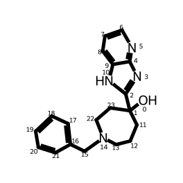 OC1(c2nc3ncccc3[nH]2)CCCN(Cc2ccccc2)CC1